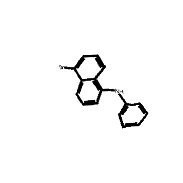 Brc1cccc2c(Nc3ccccc3)cccc12